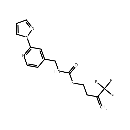 C=C(CCNC(=O)NCc1ccnc(-n2cccn2)c1)C(F)(F)F